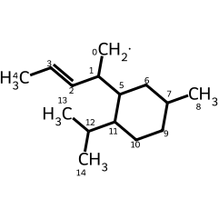 [CH2]C(C=CC)C1CC(C)CCC1C(C)C